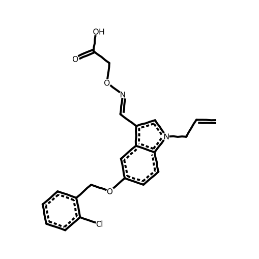 C=CCn1cc(/C=N/OCC(=O)O)c2cc(OCc3ccccc3Cl)ccc21